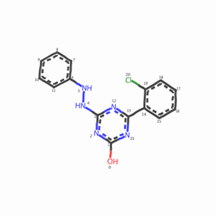 Oc1nc(NNc2ccccc2)nc(-c2ccccc2Cl)n1